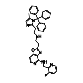 Cc1cnc(CCNCCc2nc3c(NCc4ncccc4F)nccc3o2)n1C(c1ccccc1)(c1ccccc1)c1ccccc1